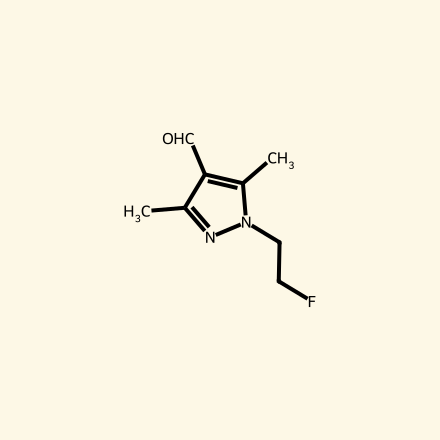 Cc1nn(CCF)c(C)c1C=O